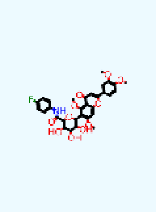 COc1ccc(-c2cc(=O)c3c(OC)c(C4OC(C(=O)Nc5ccc(F)cc5)C(O)C(O)C4O)c(OC)cc3o2)cc1OC